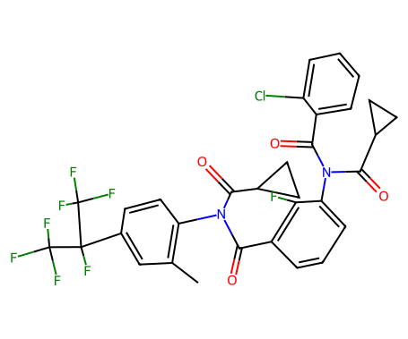 Cc1cc(C(F)(C(F)(F)F)C(F)(F)F)ccc1N(C(=O)c1cccc(N(C(=O)c2ccccc2Cl)C(=O)C2CC2)c1F)C(=O)C1CC1